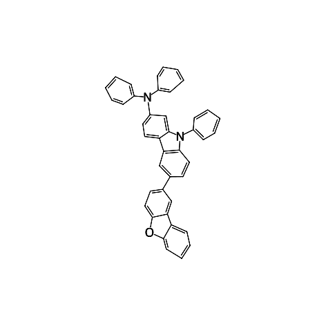 c1ccc(N(c2ccccc2)c2ccc3c4cc(-c5ccc6oc7ccccc7c6c5)ccc4n(-c4ccccc4)c3c2)cc1